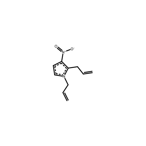 C=CCc1c([N+](=O)[O-])ccn1CC=C